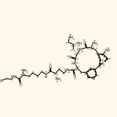 NCCNC(=O)[C@@H](N)CCCCNC(=O)[C@@H](N)CCNC(=O)[C@@H]1Cc2cccc(c2)-c2ccc(O)c(c2)C[C@H](N)C(=O)N[C@@H](C[C@@H](O)CN)C(=O)N1